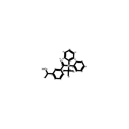 CC(O)c1cccc(C(=O)[Si](c2ccccc2)(c2ccccc2)C(C)(C)C)c1